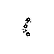 O=C(Nc1ccccc1I)N[C@H]1CC[C@H](OCc2c(F)cccc2F)CC1